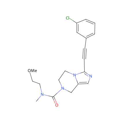 COCCN(C)C(=O)N1CCn2c(cnc2C#Cc2cccc(Cl)c2)C1